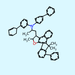 CC1Oc2c3c(c4ccccc4c2C1CC(C)N(c1ccc(-c2ccccc2)cc1)c1cccc(C2C=CC=CC2)c1)C(C)(C)c1c(-c2ccccc2)cccc1-3